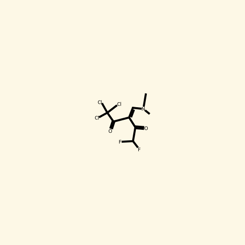 CN(C)C=C(C(=O)C(F)F)C(=O)C(Cl)(Cl)Cl